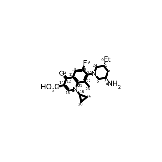 CC[C@@H]1C[C@H](N)CN(c2c(F)cc3c(=O)c(C(=O)O)cn(C4CC4)c3c2C)C1